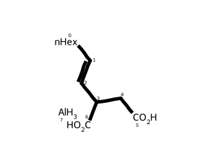 CCCCCCC=CC(CC(=O)O)C(=O)O.[AlH3]